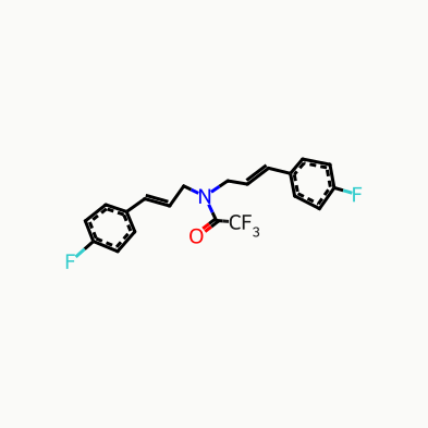 O=C(N(CC=Cc1ccc(F)cc1)CC=Cc1ccc(F)cc1)C(F)(F)F